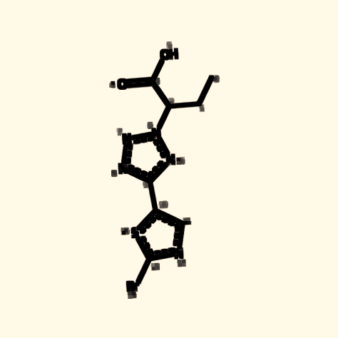 CCC(C(=O)O)n1nnc(-c2cnc(Br)s2)n1